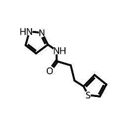 O=C(CCc1cccs1)Nc1cc[nH]n1